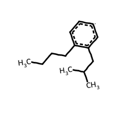 CCCCc1cc[c]cc1CC(C)C